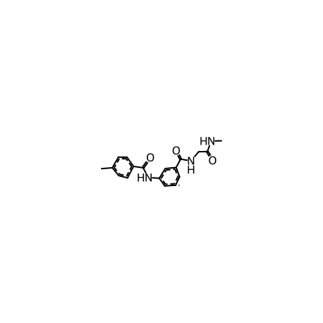 CNC(=O)CNC(=O)c1c[c]cc(NC(=O)c2ccc(C)cc2)c1